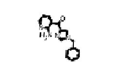 Nc1ncccc1C(=O)c1cn(Cc2ccccc2)cn1